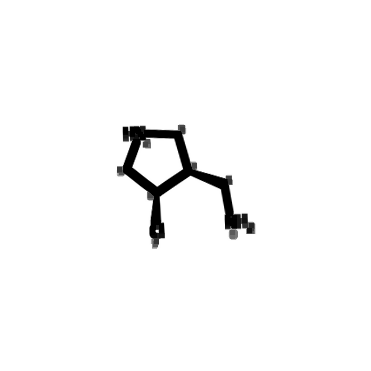 NC[C@@H]1CNC[C@@H]1Cl